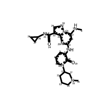 CNc1cc(Nc2cccn(C3CCCN(C)C3)c2=O)nc2c(C(=O)NC3CC3)cnn12